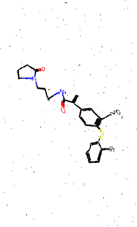 C=C(C(=O)NCCCN1CCCC1=O)c1ccc(Sc2ccccc2C(C)C)c([N+](=O)[O-])c1